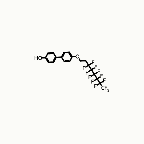 Oc1ccc(-c2ccc(OCCC(F)(F)C(F)(F)C(F)(F)C(F)(F)C(F)(F)C(F)(F)F)cc2)cc1